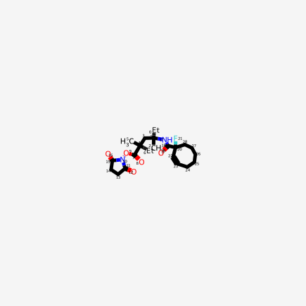 CCC(C)(CC(C)(CC)C(=O)ON1C(=O)CCC1=O)NC(=O)C1(F)C#CCCCCC1